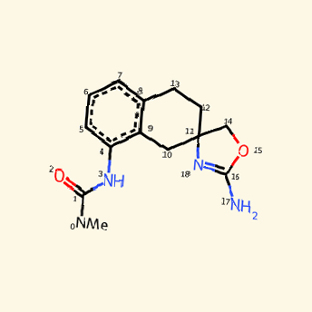 CNC(=O)Nc1cccc2c1CC1(CC2)COC(N)=N1